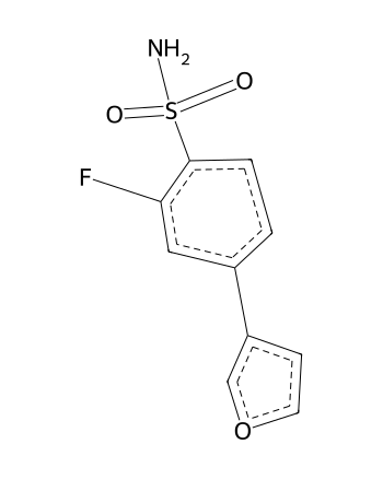 NS(=O)(=O)c1ccc(-c2ccoc2)cc1F